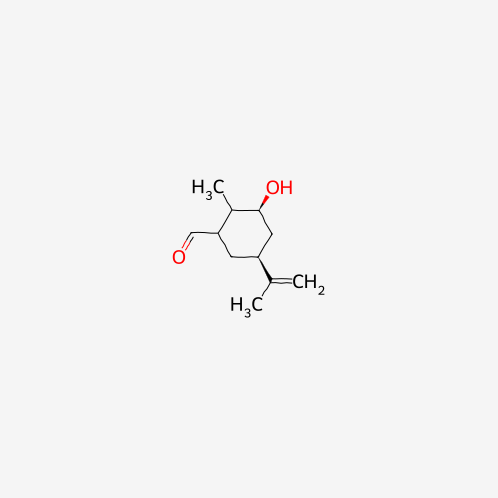 C=C(C)[C@H]1CC(C=O)C(C)[C@@H](O)C1